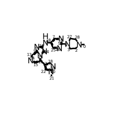 CN1CCN(c2ncc(Nc3nc4cncc(-c5cnn(C)c5)n4n3)cn2)CC1